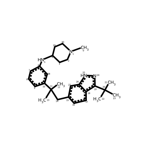 CN1CCC(Nc2cccc(C(C)(C)Cc3ccc4c(C(C)(C)C)n[nH]c4c3)c2)CC1